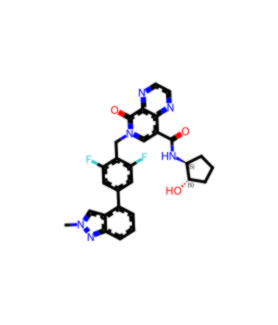 Cn1cc2c(-c3cc(F)c(Cn4cc(C(=O)N[C@H]5CCC[C@@H]5O)c5nccnc5c4=O)c(F)c3)cccc2n1